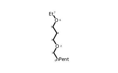 CCCCCCOCC[CH]OCC